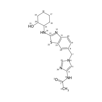 CC(=O)Nc1cn(Cc2ccc3nc(NC4CCCCC4O)sc3c2)cn1